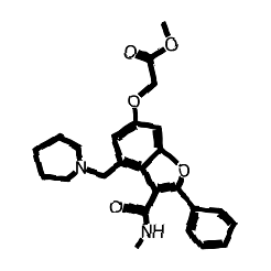 CNC(=O)c1c(-c2ccccc2)oc2cc(OCC(=O)OC)cc(CN3CCCCC3)c12